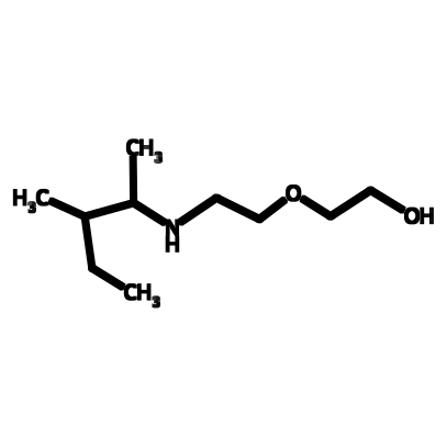 CCC(C)C(C)NCCOCCO